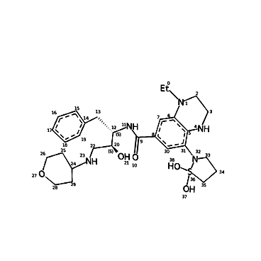 CCN1CCNc2c1cc(C(=O)N[C@@H](Cc1ccccc1)[C@@H](O)CNC1CCOCC1)cc2N1CCCS1(O)O